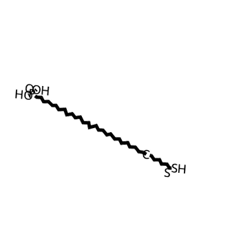 O=P(O)(O)CCCCCCCCCCCCCCCCCCCCCCCCCCCCCCCCCCC(=S)S